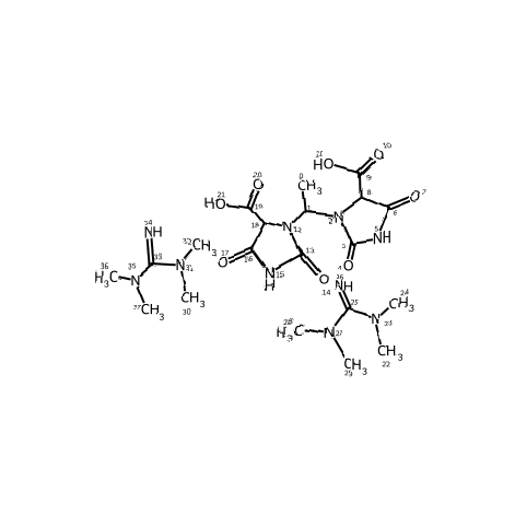 CC(N1C(=O)NC(=O)C1C(=O)O)N1C(=O)NC(=O)C1C(=O)O.CN(C)C(=N)N(C)C.CN(C)C(=N)N(C)C